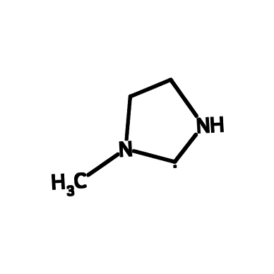 CN1[CH]NCC1